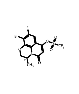 C[C@H]1COc2c(Br)c(F)cc3c(OS(=O)(=O)C(F)(F)F)cc(=O)n1c23